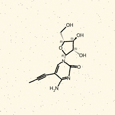 CC#Cc1cn([C@@H]2O[C@H](CO)[C@@H](O)[C@@H]2O)c(=O)nc1N